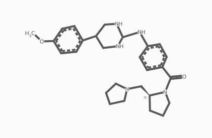 COc1ccc(C2CNC(Nc3ccc(C(=O)N4CCC[C@H]4CN4CCCC4)cc3)NC2)cc1